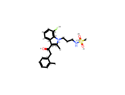 Cc1ccccc1CC(=O)c1c(C)n(CCCNS(C)(=O)=O)c2c(F)cccc12